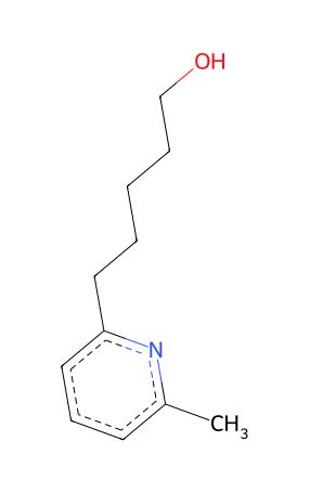 Cc1cccc(CCCCCO)n1